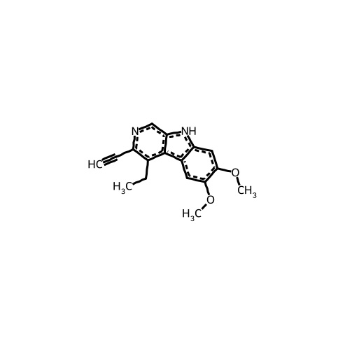 C#Cc1ncc2[nH]c3cc(OC)c(OC)cc3c2c1CC